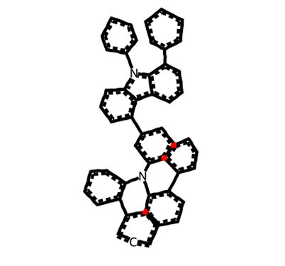 c1ccc(-c2ccccc2N(c2cccc(-c3cccc4c3c3cccc(-c5ccccc5)c3n4-c3ccccc3)c2)c2ccccc2-c2ccccc2)cc1